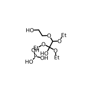 CCOC(OCCO)C(O)(OCC)OCC.OP(O)O